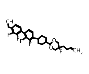 C=CCCC1(F)COC(C2CCC(c3ccc(-c4ccc(CC)c(F)c4F)c(F)c3F)CC2)OC1